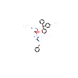 CNC(=O)N1C[C@]2(COC(c3ccccc3)(c3ccc(OC)cc3)c3ccc(OC)cc3)O[C@@H](n3cnc4c(NC(=O)c5ccccc5)ncnc43)[C@H]1[C@@H]2O